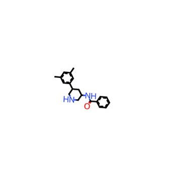 Cc1cc(C)cc(C2CNCC(NC(=O)c3ccccc3)C2)c1